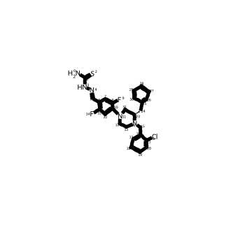 NC(=S)NN=Cc1cc(F)c(N2CCN(Cc3ccccc3Cl)[C@@H](Cc3ccccc3)C2)cc1F